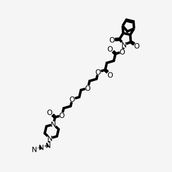 [N-]=[N+]=NN1CCN(C(=O)OCCOCCOCCOC(=O)CCC(=O)ON2C(=O)C3C4C=CC(C4)C3C2=O)CC1